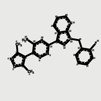 Cc1noc(C)c1-c1nnc(-c2nn(Cc3ccccc3F)c3ncccc23)nc1N